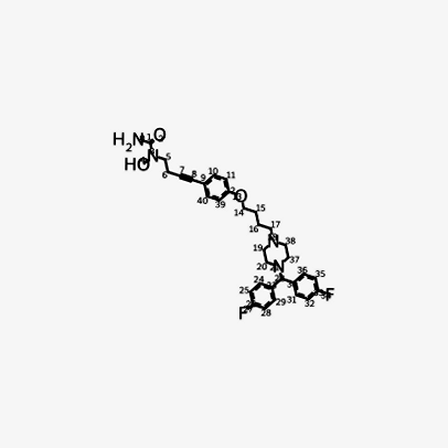 NC(=O)N(O)CCC#Cc1ccc(OCCCCN2CCN(C(c3ccc(F)cc3)c3ccc(F)cc3)CC2)cc1